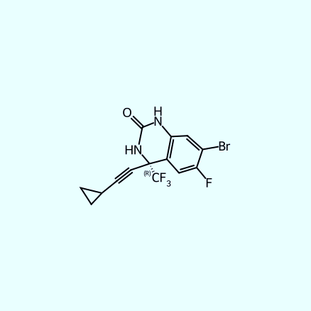 O=C1Nc2cc(Br)c(F)cc2[C@](C#CC2CC2)(C(F)(F)F)N1